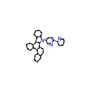 c1ccc(-c2ccc(-n3c4ccccc4c4c5ccccc5c5c6ccccc6ccc5c43)cn2)nc1